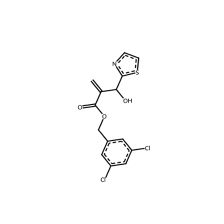 C=C(C(=O)OCc1cc(Cl)cc(Cl)c1)C(O)c1nccs1